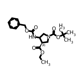 CCOC(=O)[C@@H]1CN(C(=O)OC(C)(C)C)CC1NC(=O)OCc1ccccc1